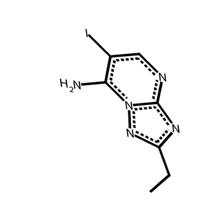 CCc1nc2ncc(I)c(N)n2n1